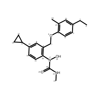 CCc1ccc(OCc2cc(C3CC3)ccc2N(O)C(=O)NC)c(C)c1